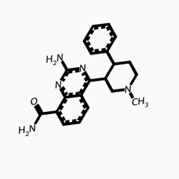 CN1CCC(c2ccccc2)C(c2nc(N)nc3c(C(N)=O)cccc23)C1